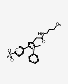 COCCCNC(=O)Cc1cc(-c2ccc(S(C)(=O)=O)cc2)n(-c2ccccc2)c1C